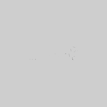 COCCCCCCCCCCCOc1cc(=O)oc2ccccc12